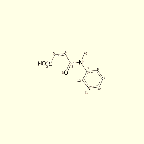 CN(C(=O)/C=C\C(=O)O)c1cccnc1